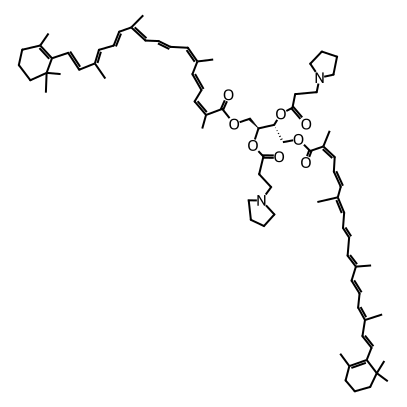 CC(C=CC=C(C)C=CC1=C(C)CCCC1(C)C)=CC=CC=C(C)C=CC=C(C)C(=O)OC[C@H](OC(=O)CCN1CCCC1)[C@@H](COC(=O)\C(C)=C/C=C/C(C)=C/C=C/C=C(C)/C=C/C=C(C)/C=C/C1=C(C)CCCC1(C)C)OC(=O)CCN1CCCC1